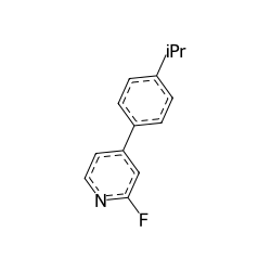 CC(C)c1ccc(-c2ccnc(F)c2)cc1